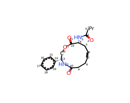 CC(C)C(=O)N[C@@H]1CC=CCCC(=O)N[C@H](c2ccccc2)COC1=O